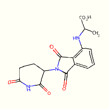 CC(Nc1cccc2c1C(=O)N(C1CCC(=O)NC1=O)C2=O)C(=O)O